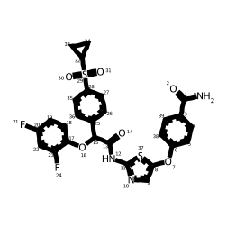 NC(=O)c1ccc(Oc2cnc(NC(=O)C(Oc3ccc(F)cc3F)c3ccc(S(=O)(=O)C4CC4)cc3)s2)cc1